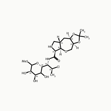 CSC1O[C@H]([C@H](NC(=O)[C@H]2NC[C@@H]3C[C@H]4OC(C)(C)O[C@H]4CO[C@H]32)[C@H](C)Cl)C(O)[C@@H](O)[C@H]1O